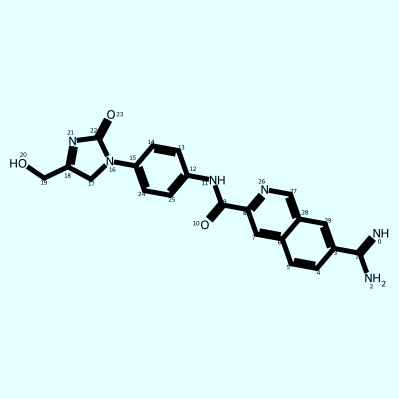 N=C(N)c1ccc2cc(C(=O)Nc3ccc(N4CC(CO)=NC4=O)cc3)ncc2c1